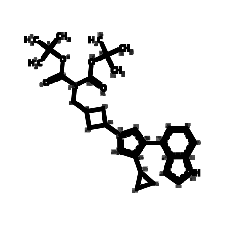 CC(C)(C)OC(=O)N(CC1CC(n2cc(-c3cccc4[nH]ccc34)c(C3CC3)n2)C1)C(=O)OC(C)(C)C